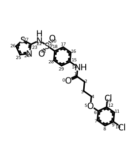 O=C(CCCOc1ccc(Cl)cc1Cl)Nc1ccc(S(=O)(=O)Nc2nccs2)cc1